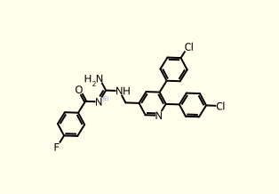 N/C(=N\C(=O)c1ccc(F)cc1)NCc1cnc(-c2ccc(Cl)cc2)c(-c2ccc(Cl)cc2)c1